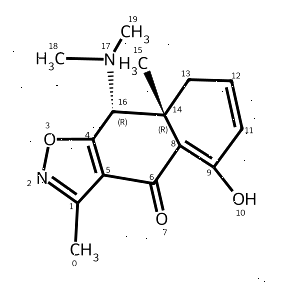 Cc1noc2c1C(=O)C1=C(O)C=CC[C@@]1(C)[C@H]2N(C)C